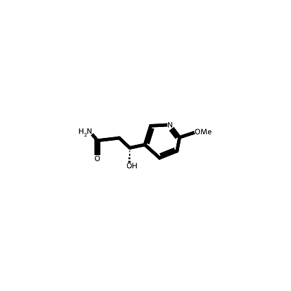 COc1ccc([C@H](O)CC(N)=O)cn1